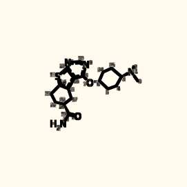 CN(C)[C@H]1CC[C@H](Oc2ncnc3sc4c(c23)C[C@@H](C(N)=O)CC4)CC1